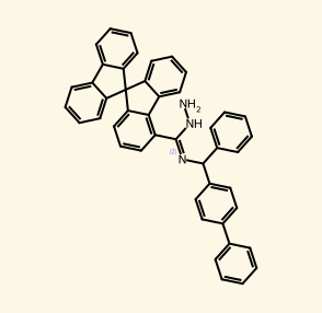 NN/C(=N\C(c1ccccc1)c1ccc(-c2ccccc2)cc1)c1cccc2c1-c1ccccc1C21c2ccccc2-c2ccccc21